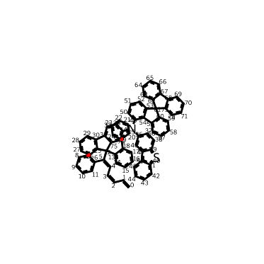 C=C/C=C\C=C(/c1ccccc1)C1(c2ccccc2-c2ccccc2)c2ccccc2-c2ccc(N(c3ccc4sc5ccccc5c4c3)c3cccc4c3-c3ccccc3C43c4ccccc4-c4ccccc43)cc21